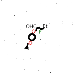 CC/C=C(F)\C=C(\C=O)COC1=C/C=C[C@H](OCC2CC2)C/C=C\1